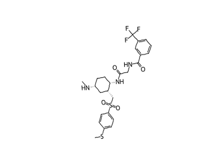 CN[C@@H]1CC[C@H](NC(=O)CNC(=O)c2cccc(C(F)(F)F)c2)[C@H](CS(=O)(=O)c2ccc(SC)cc2)C1